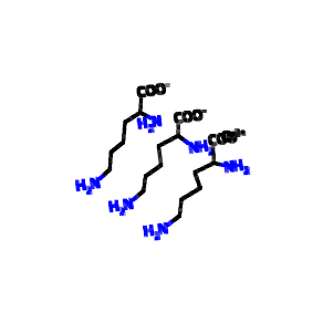 NCCCCC(N)C(=O)[O-].NCCCCC(N)C(=O)[O-].NCCCCC(N)C(=O)[O-].[Cr+3]